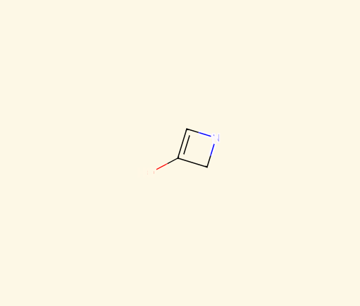 OC1=C[N]C1